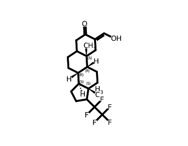 C[C@]12CC(=CO)C(=O)CC1CC[C@@H]1[C@H]2CC[C@]2(C)C(C(F)(F)C(F)(F)F)CC[C@@H]12